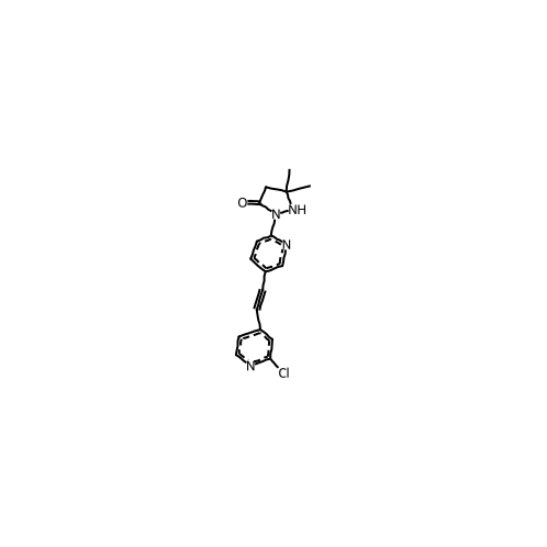 CC1(C)CC(=O)N(c2ccc(C#Cc3ccnc(Cl)c3)cn2)N1